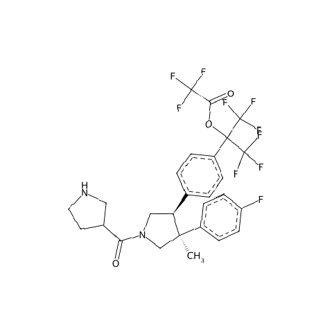 C[C@]1(c2ccc(F)cc2)CN(C(=O)C2CCNC2)C[C@H]1c1ccc(C(OC(=O)C(F)(F)F)(C(F)(F)F)C(F)(F)F)cc1